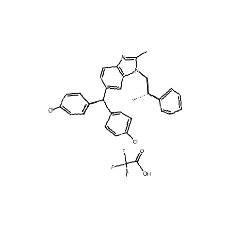 Cc1nc2ccc(C(c3ccc(Cl)cc3)c3ccc(Cl)cc3)cc2n1C[C@@H](C)c1ccccc1.O=C(O)C(F)(F)F